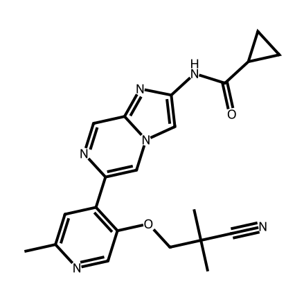 Cc1cc(-c2cn3cc(NC(=O)C4CC4)nc3cn2)c(OCC(C)(C)C#N)cn1